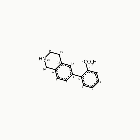 O=C(O)c1ccccc1-c1ccc2c(c1)CCNC2